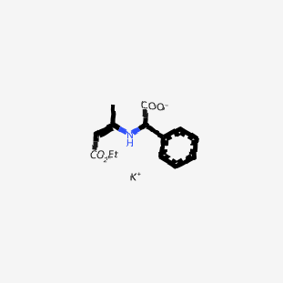 CCOC(=O)/C=C(/C)NC(C(=O)[O-])c1ccccc1.[K+]